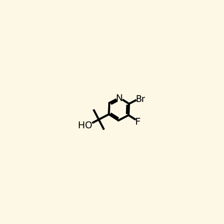 CC(C)(O)c1cnc(Br)c(F)c1